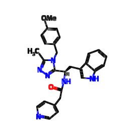 COc1ccc(Cn2c(C)nnc2[C@@H](Cc2c[nH]c3ccccc23)NC(=O)Cc2ccncc2)cc1